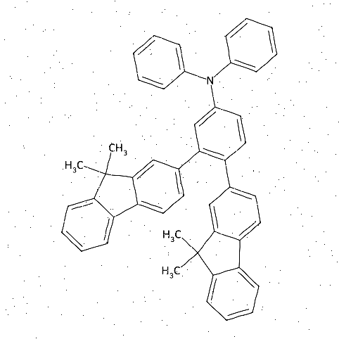 CC1(C)c2ccccc2-c2ccc(-c3ccc(N(c4ccccc4)c4ccccc4)cc3-c3ccc4c(c3)C(C)(C)c3ccccc3-4)cc21